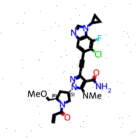 C=CC(=O)N1C[C@@H](n2nc(C#Cc3cc4ncn(C5CC5)c4c(F)c3Cl)c(C(N)=O)c2NC)C[C@@H]1COC